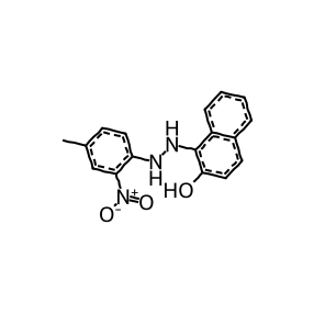 Cc1ccc(NNc2c(O)ccc3ccccc23)c([N+](=O)[O-])c1